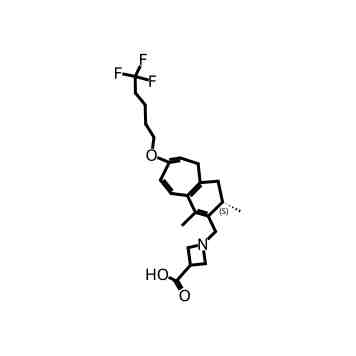 CC1=C(CN2CC(C(=O)O)C2)[C@@H](C)CC2=C1C=CC(OCCCCC(F)(F)F)=CC2